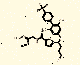 CCCCC(Sc1cc(C)c(-c2ccc(C(F)(F)F)cc2)c(C)c1)c1ccc(C(=O)NC/C(N=N)=N/N)s1